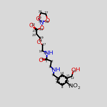 O=C(CCNCc1ccc([N+](=O)[O-])c(CO)c1)NCCOCCC(=O)ON1OCCO1